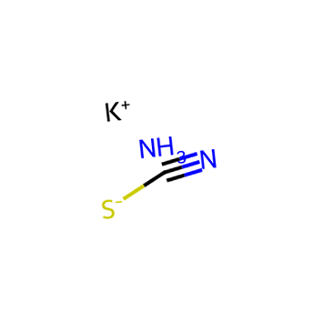 N.N#C[S-].[K+]